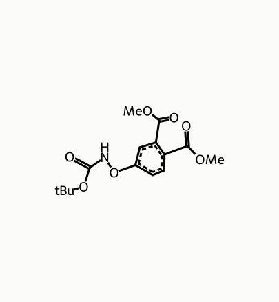 COC(=O)c1ccc(ONC(=O)OC(C)(C)C)cc1C(=O)OC